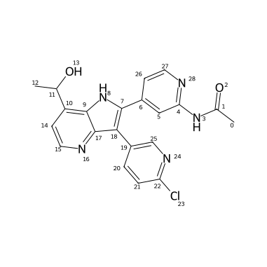 CC(=O)Nc1cc(-c2[nH]c3c(C(C)O)ccnc3c2-c2ccc(Cl)nc2)ccn1